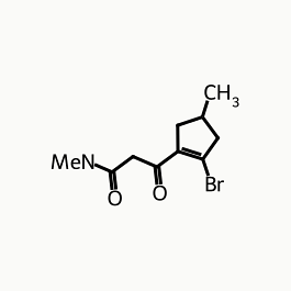 CNC(=O)CC(=O)C1=C(Br)CC(C)C1